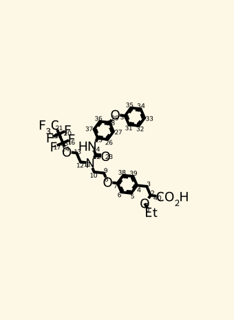 CCOC(Cc1ccc(OCCN(CCOC(F)(F)C(F)(F)C(F)(F)F)C(=O)Nc2ccc(Oc3ccccc3)cc2)cc1)C(=O)O